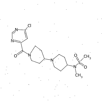 CN(C1CCN(C2CCN(C(=O)c3cc(Cl)ncn3)CC2)CC1)S(C)(=O)=O